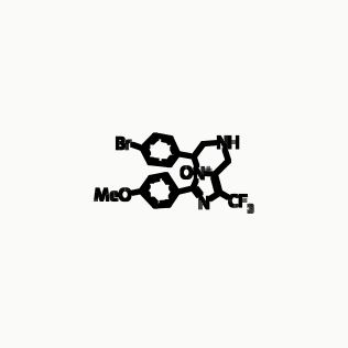 COc1ccc(C2=NC(C(F)(F)F)=C3CNCC(c4ccc(Br)cc4)[N+]23[O-])cc1